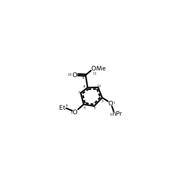 CCCOc1cc(OCC)cc(C(=O)OC)c1